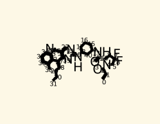 C=CC(=O)N1CC(F)(F)C[C@H]1C(=O)N[C@H]1CCC[C@@H](Nc2ncc(C#N)c(/C(=C/CCC)c3ccccc3C)n2)C1